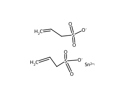 C=CCS(=O)(=O)[O-].C=CCS(=O)(=O)[O-].[Sn+2]